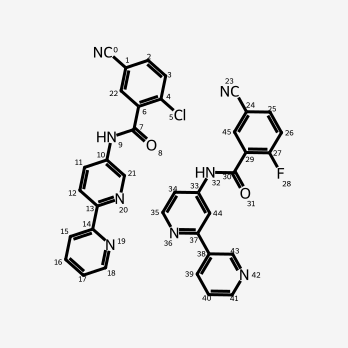 N#Cc1ccc(Cl)c(C(=O)Nc2ccc(-c3ccccn3)nc2)c1.N#Cc1ccc(F)c(C(=O)Nc2ccnc(-c3cccnc3)c2)c1